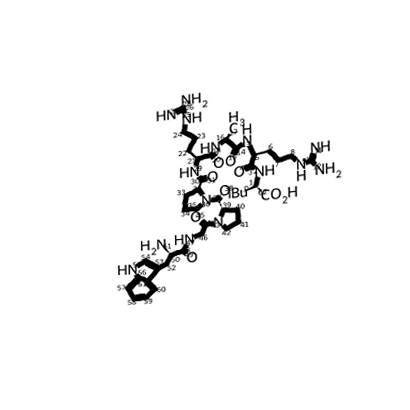 CC[C@H](C)[C@H](NC(=O)[C@H](CCCNC(=N)N)NC(=O)[C@H](C)NC(=O)[C@H](CCCNC(=N)N)NC(=O)[C@@H]1CCCN1C(=O)[C@@H]1CCCN1C(=O)CNC(=O)[C@@H](N)Cc1c[nH]c2ccccc12)C(=O)O